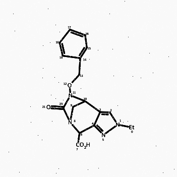 CCn1cc2c(n1)C(C(=O)O)N1CC2N(OCc2ccccc2)C1=O